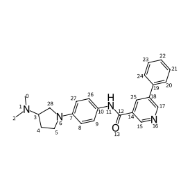 CN(C)C1CCN(c2ccc(NC(=O)c3cncc(-c4ccccc4)c3)cc2)C1